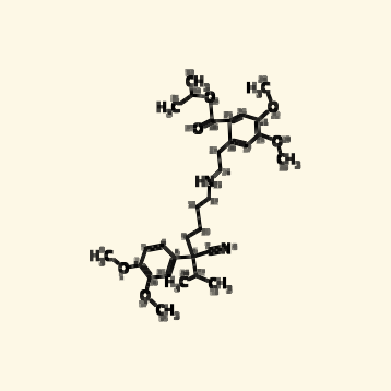 COc1ccc(C(C#N)(CCCCNCCc2cc(OC)c(OC)cc2C(=O)OC(C)C)C(C)C)cc1OC